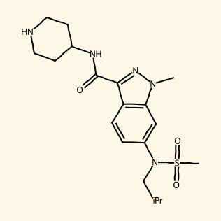 CC(C)CN(c1ccc2c(C(=O)NC3CCNCC3)nn(C)c2c1)S(C)(=O)=O